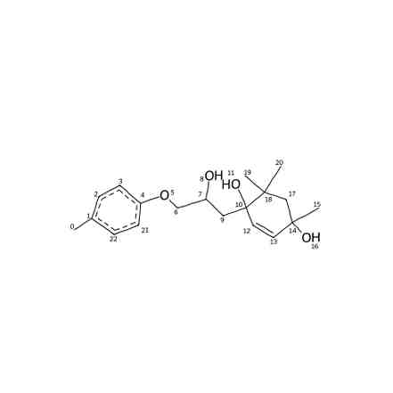 Cc1ccc(OCC(O)CC2(O)C=CC(C)(O)CC2(C)C)cc1